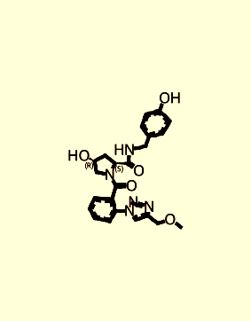 COCc1cn(-c2ccccc2C(=O)N2C[C@H](O)C[C@H]2C(=O)NCc2ccc(O)cc2)nn1